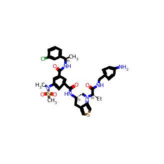 CC[C@H](NC[C@H](Cc1ccsc1)NC(=O)c1cc(C(=O)N[C@H](C)c2cccc(Cl)c2)cc(N(C)S(C)(=O)=O)c1)C(=O)NCc1ccc(N)cc1